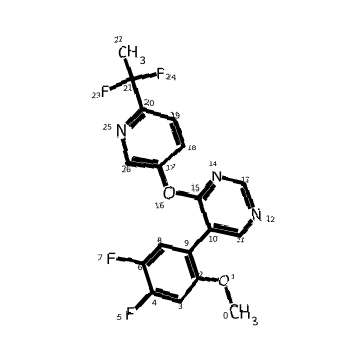 COc1cc(F)c(F)cc1-c1cncnc1Oc1ccc(C(C)(F)F)nc1